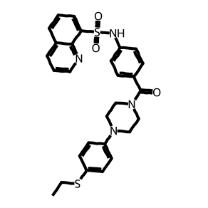 CCSc1ccc(N2CCN(C(=O)c3ccc(NS(=O)(=O)c4cccc5cccnc45)cc3)CC2)cc1